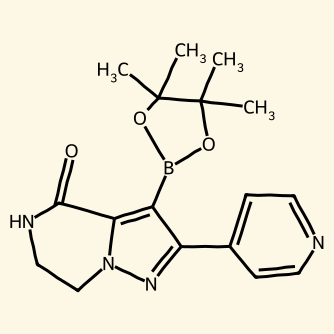 CC1(C)OB(c2c(-c3ccncc3)nn3c2C(=O)NCC3)OC1(C)C